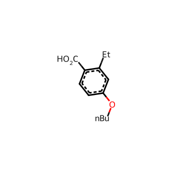 CCCCOc1ccc(C(=O)O)c(CC)c1